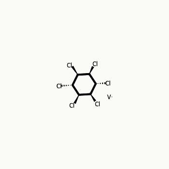 Cl[C@H]1[C@H](Cl)[C@@H](Cl)[C@@H](Cl)[C@H](Cl)[C@H]1Cl.[V]